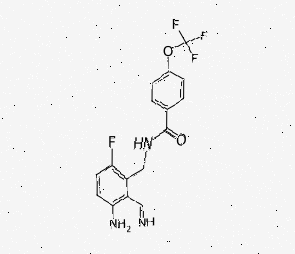 N=Cc1c(N)ccc(F)c1CNC(=O)c1ccc(OC(F)(F)F)cc1